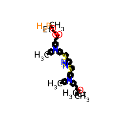 CCC(C)(P)OCCOC(=O)CCc1ccc(N(c2ccc(C)cc2)c2ccc(-c3ccc(-c4ccc(-c5ccc(-c6ccc(N(c7ccc(C)cc7)c7ccc(CCC(=O)C(C)(C)CC)cc7)cc6)s5)c5nsnc45)s3)cc2)cc1